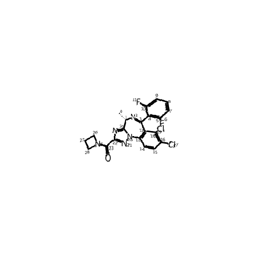 C[C@@H]1N=C(c2c(F)cccc2F)c2c(ccc(Cl)c2Cl)-n2nc(C(=O)N3CCC3)nc21